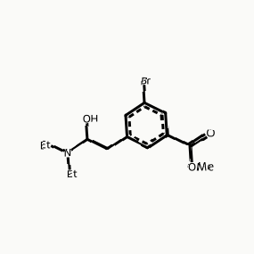 CCN(CC)C(O)Cc1cc(Br)cc(C(=O)OC)c1